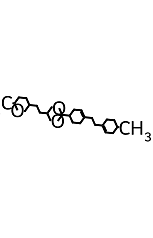 CC1CC=C(CCC2=CCC(C3OCC(CCC4CCC(C)OC4)CO3)CC2)CC1